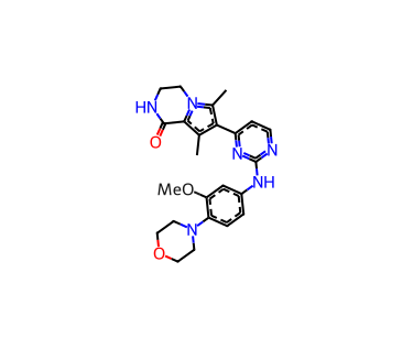 COc1cc(Nc2nccc(-c3c(C)c4n(c3C)CCNC4=O)n2)ccc1N1CCOCC1